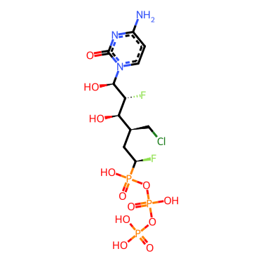 Nc1ccn([C@H](O)[C@H](F)[C@H](O)[C@@H](CCl)C[C@@H](F)P(=O)(O)OP(=O)(O)OP(=O)(O)O)c(=O)n1